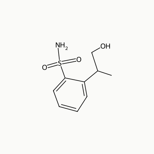 CC(CO)c1ccccc1S(N)(=O)=O